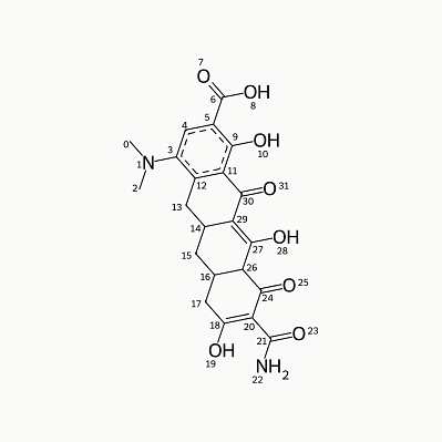 CN(C)c1cc(C(=O)O)c(O)c2c1CC1CC3CC(O)=C(C(N)=O)C(=O)C3C(O)=C1C2=O